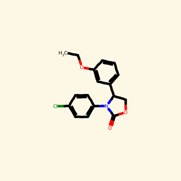 CCOc1cccc(C2COC(=O)N2c2ccc(Cl)cc2)c1